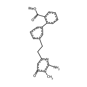 COC(=O)c1ccccc1-c1cccc(CCc2cc(=O)n(C)c(N)n2)c1